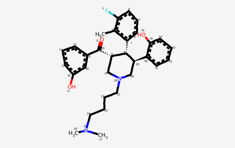 Cc1c(F)cccc1[C@H]1[C@@H](C(=O)c2cccc(O)c2)CN(CCCCN(C)C)C[C@@H]1c1c[c]ccc1O